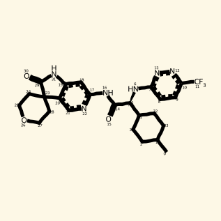 CC1CCC([C@H](Nc2ccc(C(F)(F)F)nn2)C(=O)Nc2cc3c(cn2)C2(CCOCC2)C(=O)N3)CC1